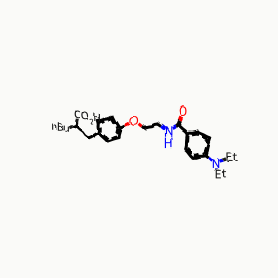 CCCCC(Cc1ccc(OCCNC(=O)c2ccc(N(CC)CC)cc2)cc1)C(=O)O